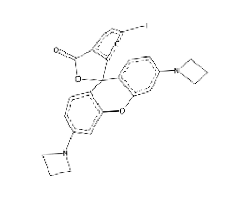 O=C1OC2(c3ccc(N4CCC4)cc3Oc3cc(N4CCC4)ccc32)c2cc(I)ccc21